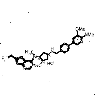 CNc1ncc(-c2ccc(CN[C@H]3C[C@@H](O)[C@@H](N(C)c4ncnc5sc(CC(F)(F)F)cc45)C3)cc2)cc1OC.Cl